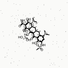 CN(C)c1cc(NS(C)(=O)=O)c(O)c2c1CC1CC3[C@H](N(C)C)C(O)=C(C(N)=O)C(=O)[C@@]3(O)C(O)=C1C2=O.O=S(=O)(O)O